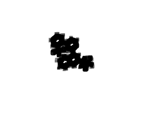 CC(C)(c1cc(-c2cccc(-c3ccccc3S(C)(=O)=O)c2)c2ncccc2c1)S(C)(=O)=O